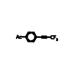 CC(=O)c1ccc(C#CC(F)(F)F)cc1